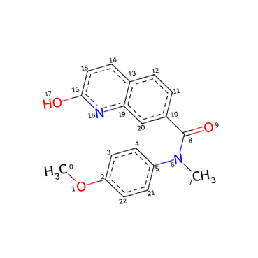 COc1ccc(N(C)C(=O)c2ccc3ccc(O)nc3c2)cc1